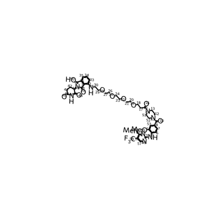 CNc1nc(Nc2ccc(C(=O)N3CCN(C(=O)CCOCCOCCOCCOCCNc4cccc5c4C(=O)N(C4CCC(=O)NC4=O)C5O)CC3)cc2OC)ncc1C(F)(F)F